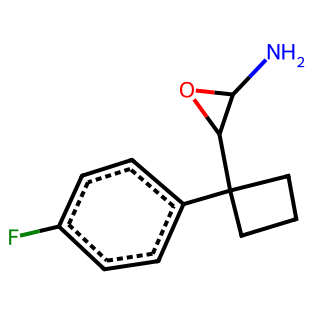 NC1OC1C1(c2ccc(F)cc2)CCC1